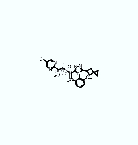 COc1cccc(OC)c1-n1c(NS(=O)(=O)[C@@H](C)[C@H](OC)c2ncc(Cl)cn2)nnc1C1CC2(CC2)C1